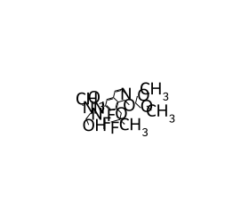 CCn1c(CO)nn(-c2cc(O[C@@H](C)C(F)(F)F)c3c(OC(COC)COC)nccc3c2)c1=O